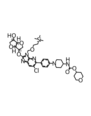 C[Si](C)(C)CCOCn1c(O[C@@H]2CO[C@H]3[C@@H]2OC[C@H]3O)nc2cc(Cl)c(-c3ccc(N4CCC(NC(=O)OC5CCOCC5)CC4)cc3)nc21